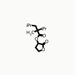 CC(C)CC(C)(C(=O)OC1CCOC1=O)C(C)C